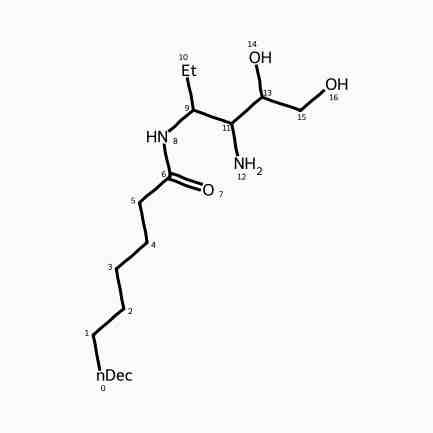 CCCCCCCCCCCCCCCC(=O)NC(CC)C(N)C(O)CO